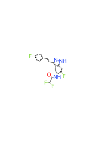 O=C(Nc1cc2c(C=Cc3ccc(F)cc3)n[nH]c2cc1F)C(F)F